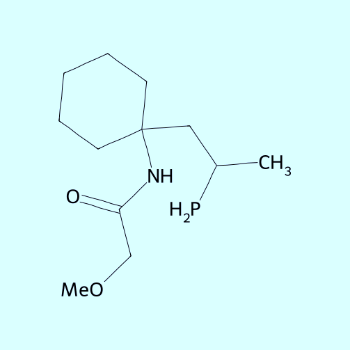 COCC(=O)NC1(CC(C)P)CCCCC1